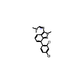 CN(C)/C=N\c1c2cccc(-c3ccc(Cl)cc3Cl)c2nn1C